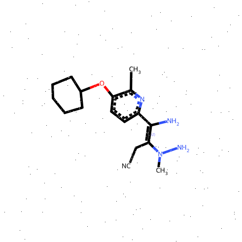 Cc1nc(/C(N)=C(\CC#N)N(C)N)ccc1OC1CCCCC1